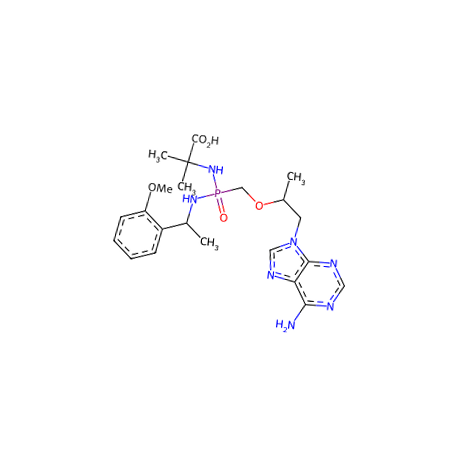 COc1ccccc1C(C)NP(=O)(COC(C)Cn1cnc2c(N)ncnc21)NC(C)(C)C(=O)O